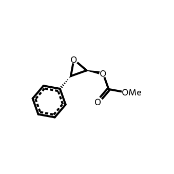 COC(=O)O[C@@H]1O[C@H]1c1ccccc1